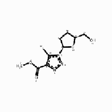 COC(=O)c1nnn([C@H]2CC[C@@H](CO)O2)c1I